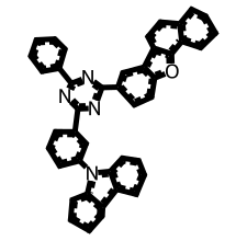 c1ccc(-c2nc(-c3cccc(-n4c5ccccc5c5ccccc54)c3)nc(-c3ccc4oc5c6ccccc6ccc5c4c3)n2)cc1